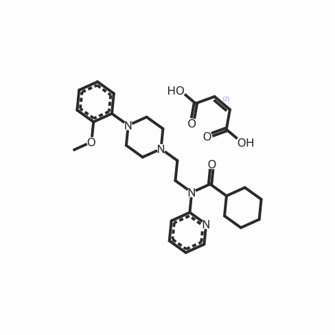 COc1ccccc1N1CCN(CCN(C(=O)C2CCCCC2)c2ccccn2)CC1.O=C(O)/C=C\C(=O)O